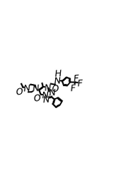 CC(=O)N1CCN(c2c(C)n(CC(=O)Nc3ccc(C(F)(F)F)cc3)c3nc(-c4ccccc4)nn3c2=O)CC1